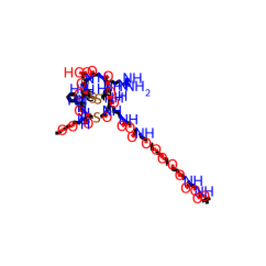 CCOCCOCCNC(=O)[C@@H]1CSCC(=O)N[C@@H](CCCCNC(=O)COCC(=O)NCCOCCOCCOCCOCCOCCNC(=O)CONC(=O)OC(C)(C)C)C(=O)N[C@H]2CSSC[C@H](NC(=O)[C@H](CC(=O)O)NC(=O)CNC(=O)[C@H](CCCNC(=N)N)NC2=O)C(=O)N[C@@H](Cc2ccccc2)C(=O)N1